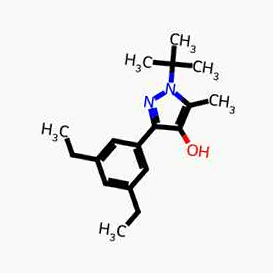 CCc1cc(CC)cc(-c2nn(C(C)(C)C)c(C)c2O)c1